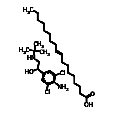 CC(C)(C)NCC(O)c1cc(Cl)c(N)c(Cl)c1.CCCCCCCCC=CCCCCCCCC(=O)O